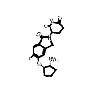 N[C@@H]1CCC[C@H]1Oc1cc2c(cc1F)C(=O)N(C1CCC(=O)NC1=O)C2